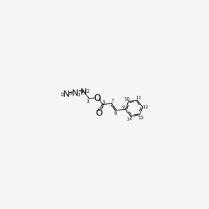 [N-]=[N+]=NCOC(=O)/C=C/c1ccccc1